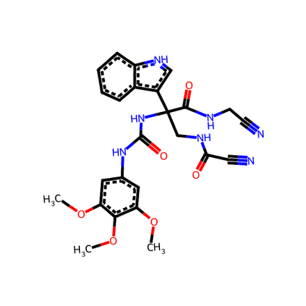 COc1cc(NC(=O)NC(CNC(=O)C#N)(C(=O)NCC#N)c2c[nH]c3ccccc23)cc(OC)c1OC